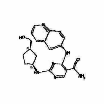 NC(=O)c1cnc(N[C@H]2CC[C@@H](CO)C2)nc1Nc1ccc2ncccc2c1